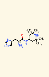 CC1(C)CC(NC(=O)[C@@H](N)Cc2c[nH]cn2)CC(C)(C)N1